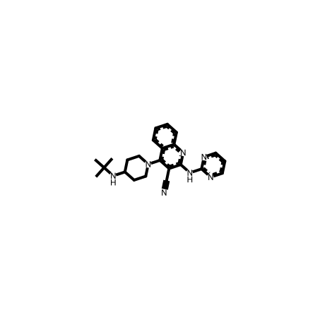 CC(C)(C)NC1CCN(c2c(C#N)c(Nc3ncccn3)nc3ccccc23)CC1